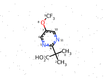 CC(C)(C(=O)O)c1ncc(OC(F)(F)F)cn1